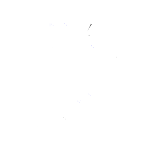 C[C@@H](N[S+]([O-])C(C)(C)C)c1n[nH]c(=O)c2ccc(-c3cnn(C)c3-c3cccc(Cl)c3C#N)cc12